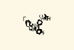 CC(C)NC(=O)[C@H]1CC[C@@H](n2/c(=N/C(=O)c3ccc(F)cc3)[nH]c3ccc(F)cc32)CC1